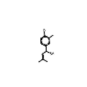 CC(C)=CC(S)c1ccc(Br)c(C)c1